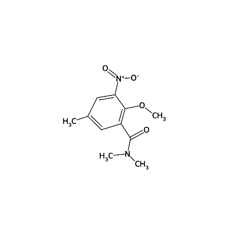 COc1c(C(=O)N(C)C)cc(C)cc1[N+](=O)[O-]